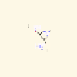 CN1CC(C(=O)NC#N)CC(C(=O)NC#N)C1